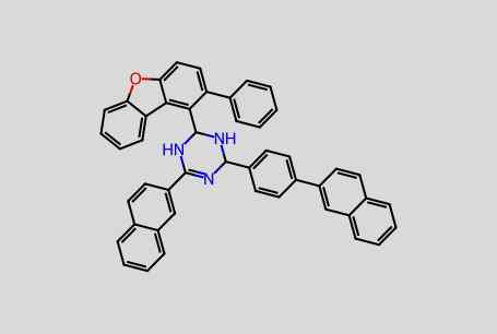 c1ccc(-c2ccc3oc4ccccc4c3c2C2NC(c3ccc4ccccc4c3)=NC(c3ccc(-c4ccc5ccccc5c4)cc3)N2)cc1